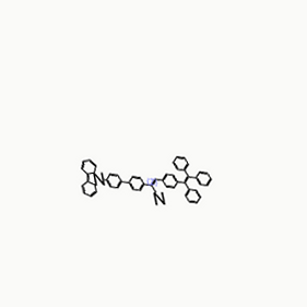 N#C/C(=C\c1ccc(C(=C(c2ccccc2)c2ccccc2)c2ccccc2)cc1)c1ccc(-c2ccc(N3C4C=CC=CC4=C4C=CC=CC43)cc2)cc1